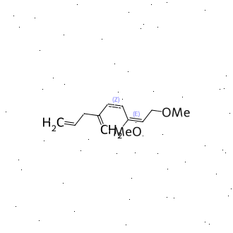 C=CCC(=C)/C=C\C(=C/COC)OC